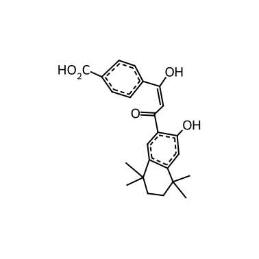 CC1(C)CCC(C)(C)c2cc(C(=O)/C=C(/O)c3ccc(C(=O)O)cc3)c(O)cc21